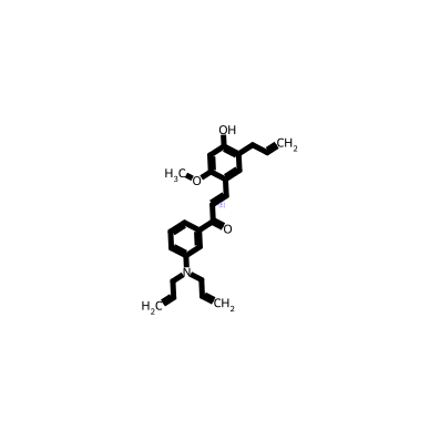 C=CCc1cc(/C=C/C(=O)c2cccc(N(CC=C)CC=C)c2)c(OC)cc1O